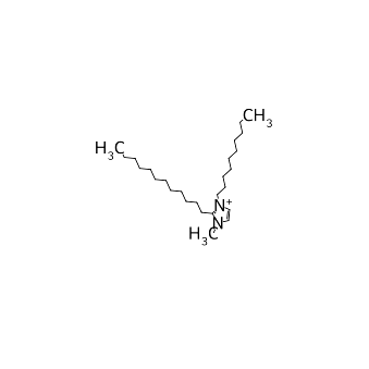 CCCCCCCCCCCCc1n(C)cc[n+]1CCCCCCCCCC